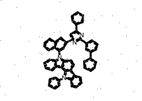 c1ccc(-c2cccc(-c3nc(-c4ccccc4)cc(-c4cc(-n5c6ccccc6c6c5ccc5c7ccccc7n(-c7ccccc7)c56)c5ccccc5c4)n3)c2)cc1